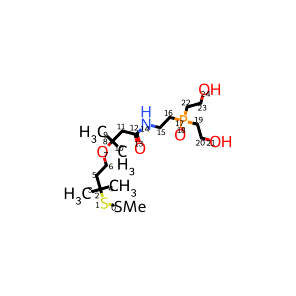 CSSC(C)(C)CCOC(C)(C)CC(=O)NCCP(=O)(CCO)CCO